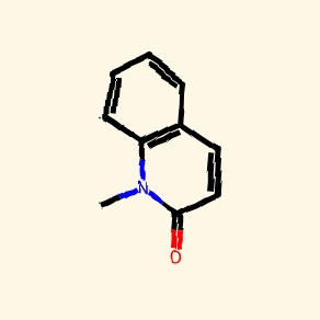 Cn1c(=O)ccc2ccc[c]c21